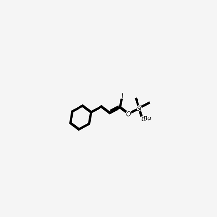 CC(C)(C)[Si](C)(C)OC(I)=CCC1CCCCC1